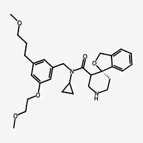 COCCCc1cc(CN(C(=O)C2CNCC[C@@]23OCc2ccccc23)C2CC2)cc(OCCOC)c1